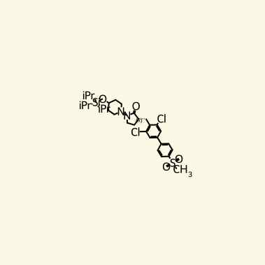 CC(C)[Si](OC1CCN(N2CC[C@@H](Cc3c(Cl)cc(-c4ccc(S(C)(=O)=O)cc4)cc3Cl)C2=O)CC1)(C(C)C)C(C)C